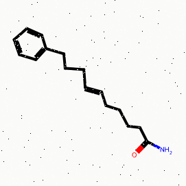 NC(=O)CCCC/C=C/CCCc1ccccc1